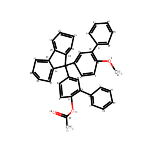 COc1ccc(C2(c3ccc(OC(C)=O)c(-c4ccccc4)c3)c3ccccc3-c3ccccc32)cc1-c1ccccc1